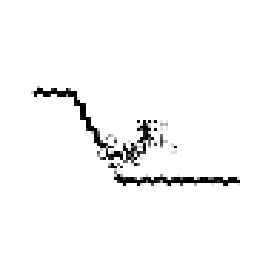 CCCCC/C=C\CCCCCCCC(=O)O[C@H](CO/C=C\CCCCCCCCCCCCCCCC)COP(=O)(O)OC[C@H](N)C(=O)O